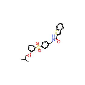 CC(C)COc1cccc(S(=O)(=O)c2ccc(CNC(=O)c3cc4ccccc4s3)cc2)c1